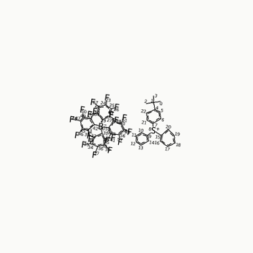 CC(C)(C)c1ccc([S+](c2ccccc2)c2ccccc2)cc1.Fc1c(F)c(F)c([B-](c2c(F)c(F)c(F)c(F)c2F)(c2c(F)c(F)c(F)c(F)c2F)c2c(F)c(F)c(F)c(F)c2F)c(F)c1F